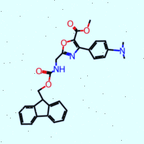 COC(=O)c1oc(CNC(=O)OCC2c3ccccc3-c3ccccc32)nc1-c1ccc(N(C)C)cc1